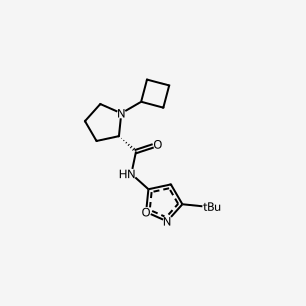 CC(C)(C)c1cc(NC(=O)[C@@H]2CCCN2C2CCC2)on1